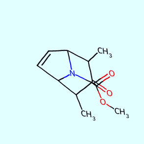 COC(=O)N1C2C=CC1C(C)C(=O)C2C